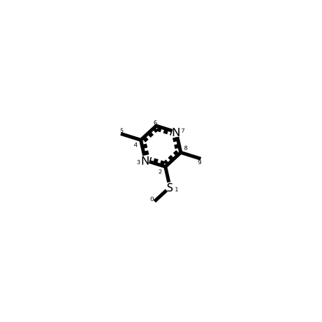 CSc1nc(C)cnc1C